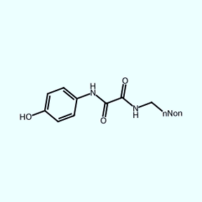 CCCCCCCCCCNC(=O)C(=O)Nc1ccc(O)cc1